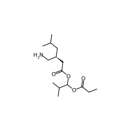 CCC(=O)OC(OC(=O)C[C@@H](CN)CC(C)C)C(C)C